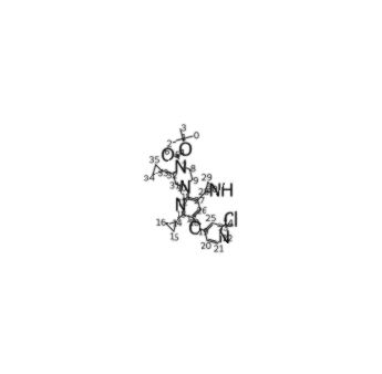 CC(C)(C)OC(=O)N1CCN(c2nc(C3CC3)c(Oc3ccnc(Cl)c3)cc2C2CN2)CC1C1CC1